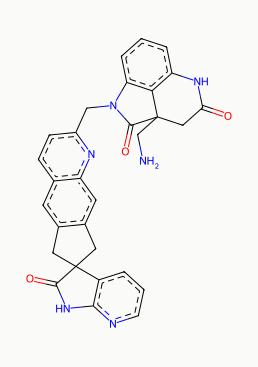 NCC12CC(=O)Nc3cccc(c31)N(Cc1ccc3cc4c(cc3n1)CC1(C4)C(=O)Nc3ncccc31)C2=O